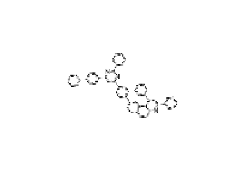 c1ccc(-c2ccc(-c3cc(-c4ccc(-c5ccc6ccc7nc(-c8ccccc8)cc(-c8ccccc8)c7c6c5)cc4)nc(-c4ccccc4)n3)cc2)cc1